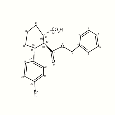 O=C(OCc1ccccc1)[C@@H]1[C@@H](C(=O)O)CCC[C@H]1c1ccc(Br)cc1